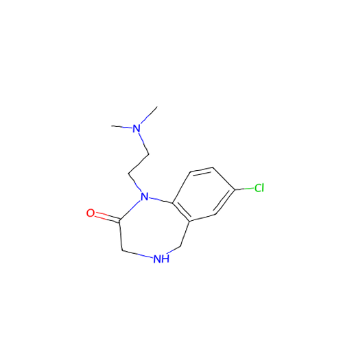 CN(C)CCN1C(=O)CNCc2cc(Cl)ccc21